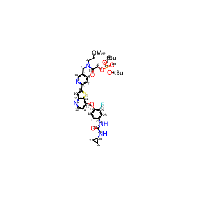 COCCN(Cc1ccc(-c2cc3nccc(Oc4ccc(NC(=O)NC5CC5)cc4F)c3s2)nc1)C(=O)COP(=O)(OC(C)(C)C)OC(C)(C)C